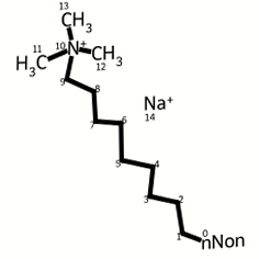 CCCCCCCCCCCCCCCCCC[N+](C)(C)C.[Na+]